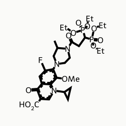 CCOP(=O)(OCC)C(CC(=O)N1CCN(c2c(F)cc3c(=O)c(C(=O)O)cn(C4CC4)c3c2OC)CC1C)P(=O)(OCC)OCC